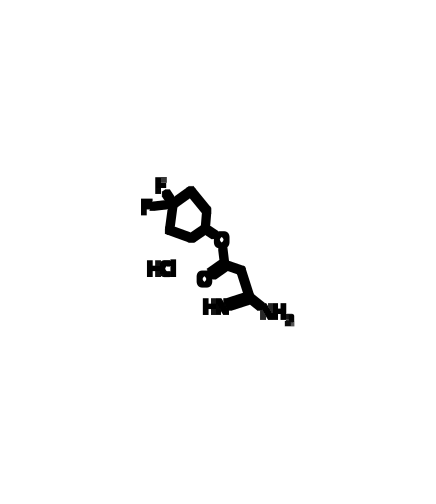 Cl.N=C(N)CC(=O)OC1CCC(F)(F)CC1